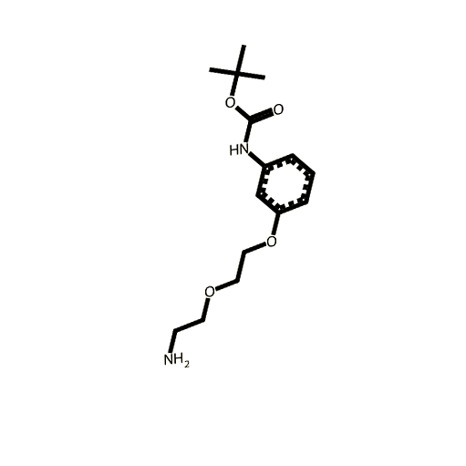 CC(C)(C)OC(=O)Nc1cccc(OCCOCCN)c1